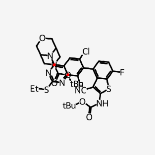 CCSc1nc(N2C3COCC2CN(C(=O)OC(C)(C)C)C3)c2cc(Cl)c(-c3ccc(F)c4sc(NC(=O)OC(C)(C)C)c(C#N)c34)c(F)c2n1